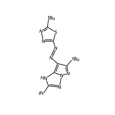 CC(C)c1nn2nc(C(C)(C)C)c(/N=N/c3nnc(C(C)(C)C)s3)c2[nH]1